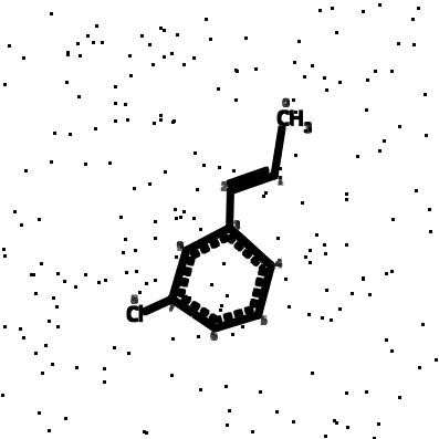 CC=Cc1cccc(Cl)c1